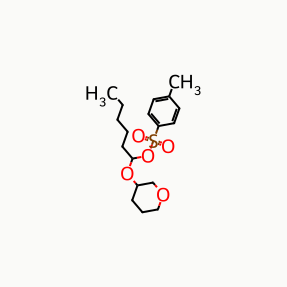 CCCCCC(OC1CCCOC1)OS(=O)(=O)c1ccc(C)cc1